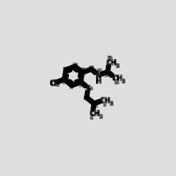 CC(C)CSc1cc(Cl)ccc1CNC(C)C